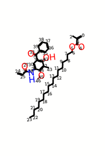 C=C(C)C(=O)OCCCCCCCCCCCCCCCCCC.C=CC(=O)Nc1cc(C(=O)c2ccccc2)c(O)c(C)c1OC